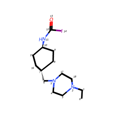 CCN1CCN(C[C@H]2CC[C@H](NC(=O)I)CC2)CC1